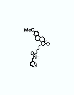 COc1ccc2c(c1)CCC1C2CC[C@]2(C)C(=O)C[C@@H](CCCCC(=O)NCc3cccnc3)C12